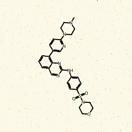 CN1CCN(c2ccc(-c3cccc4cnc(Nc5ccc(S(=O)(=O)N6CCOCC6)cc5)nc34)cn2)CC1